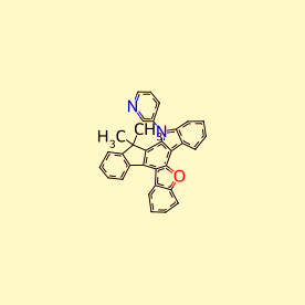 CC1(C)c2ccccc2-c2c1c1c(c3ccccc3n1-c1cccnc1)c1oc3ccccc3c21